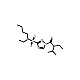 CCCCN(CC)S(=O)(=O)c1ncn(C(=O)N(CC)C(C)C)n1